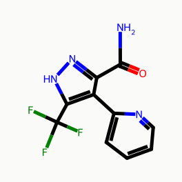 NC(=O)c1n[nH]c(C(F)(F)F)c1-c1ccccn1